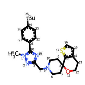 Cn1nc(CN2CCC3(CC2)OCCc2ccsc23)nc1-c1ccc(C(C)(C)C)cc1